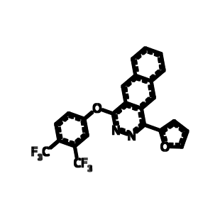 FC(F)(F)c1ccc(Oc2nnc(-c3ccco3)c3cc4ccccc4cc23)cc1C(F)(F)F